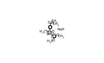 CCC(=O)N(C(=O)Nc1nc(OC)cc(OC)n1)c1ccc(C(=O)N(C)C)cc1.[NaH]